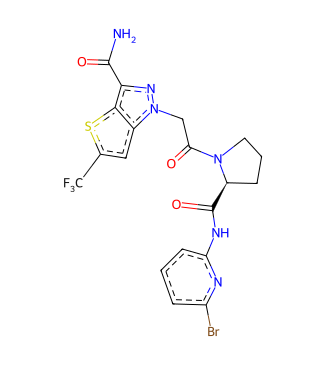 NC(=O)c1nn(CC(=O)N2CCC[C@H]2C(=O)Nc2cccc(Br)n2)c2cc(C(F)(F)F)sc12